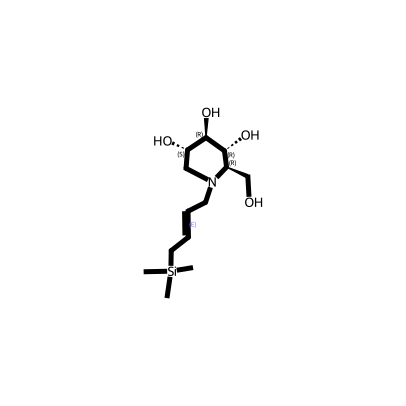 C[Si](C)(C)C/C=C/CN1C[C@H](O)[C@@H](O)[C@H](O)[C@H]1CO